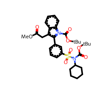 COC(=O)Cc1c(-c2cccc(S(=O)(=O)N(C(=O)OC(C)(C)C)C3CCCCC3)c2)n(C(=O)OC(C)(C)C)c2ccccc12